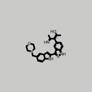 CC(=N)/C(=C(/C)O)c1ccc2[nH]nc(C3=CC4C=C(CN5CCOCC5)C=CC4N3)c2c1